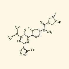 CC(C)n1nccc1C(=O)N[C@H](C(=O)Nc1ccc([C@H](C)C(=O)N2C[C@@H](F)[C@@H](F)C2)cc1F)C(=C1CC1)C1CC1